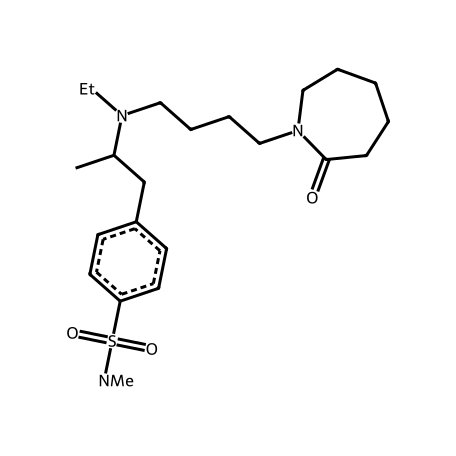 CCN(CCCCN1CCCCCC1=O)C(C)Cc1ccc(S(=O)(=O)NC)cc1